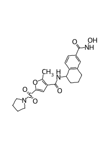 Cc1oc(S(=O)(=O)N2CCCC2)cc1C(=O)NC1CCCc2cc(C(=O)NO)ccc21